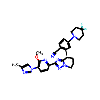 COc1nc(-c2nc3n(n2)CCC[C@@H]3c2cc(N3CCC(F)(F)CC3)ccc2C#N)ccc1-n1cnc(C)c1